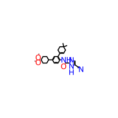 COC1(OC)CCC(c2ccc(NC(=O)c3ncc(C#N)[nH]3)c(C3=CCC(C)(C)CC3)c2)CC1